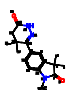 CC(=O)N1C(=O)C(C)(C)c2cc(C3=NNC(=O)CC3(C)C)ccc21